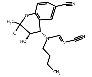 CCCCN(C=NC#N)[C@H]1c2cc(C#N)ccc2OC(C)(C)[C@@H]1O